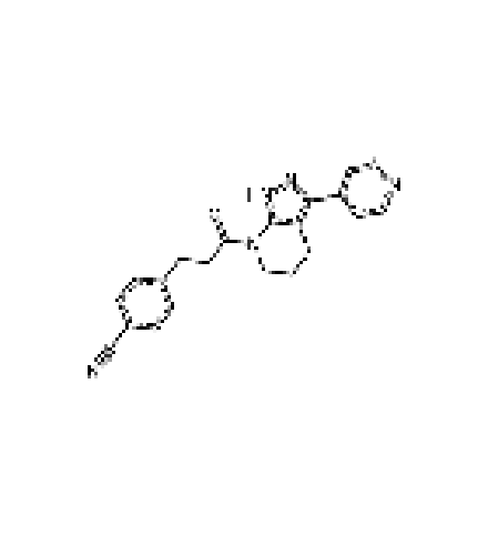 N#Cc1ccc(CCC(=O)N2CCCc3c(-c4ccnnc4)n[nH]c32)cc1